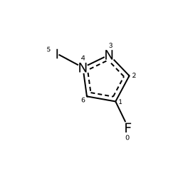 Fc1cnn(I)c1